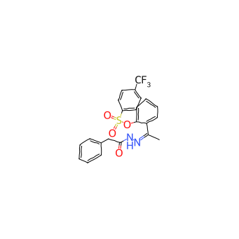 CC(=NNC(=O)Cc1ccccc1)c1ccccc1OS(=O)(=O)c1ccc(C(F)(F)F)cc1